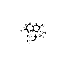 C=CC(C)(C)c1c(O)c(O)cc2ccc(=O)oc12